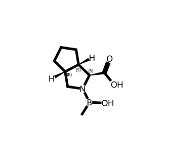 CB(O)N1C[C@@H]2CCC[C@@H]2[C@H]1C(=O)O